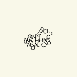 CC12C3C4C1C1C2C3C41CNC(=O)c1cc(C(=O)NCc2ccc3c(c2)NC(=O)CO3)nc2ccnn12